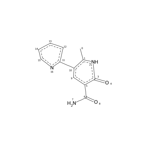 Cc1[nH]c(=O)c(C(N)=O)cc1-c1ccccn1